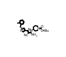 Cc1ccccc1Cn1cc(-c2nn([C@H]3CCCN(C(=O)OC(C)(C)C)CC3)c(N)c2C#N)cn1